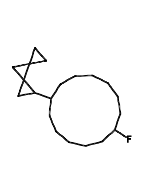 FC1CCCCCCC(C2CC23CC32CC2)CCCCC1